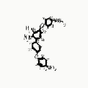 Nc1ccc(Oc2ccc(-c3ccc(Oc4ccc(N)cc4)c(N)c3N)cc2)cc1